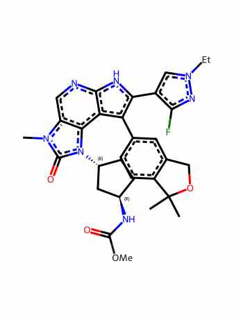 CCn1cc(-c2[nH]c3ncc4c(c3c2-c2ccc3c(c2)COC3(C)C)n([C@@H]2CC[C@@H](NC(=O)OC)C2)c(=O)n4C)c(F)n1